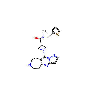 CN(Cc1cccs1)C(=O)C1CN(c2c3c(nc4ccnn24)CCNCC3)C1